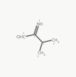 CC(C)C(=N)C=O